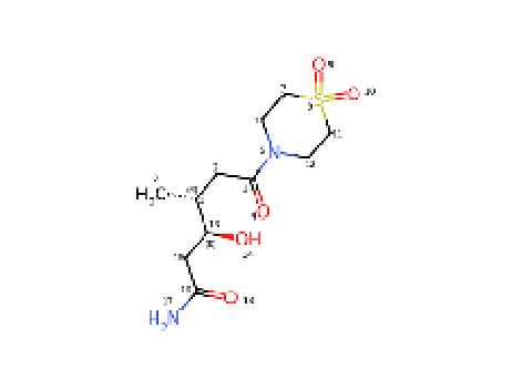 C[C@H](CC(=O)N1CCS(=O)(=O)CC1)[C@@H](O)CC(N)=O